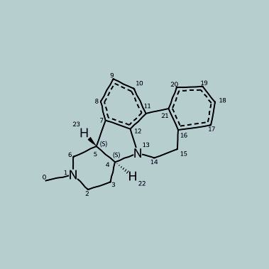 CN1CC[C@H]2[C@H](C1)c1cccc3c1N2CCc1ccccc1-3